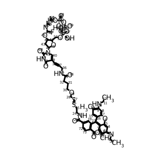 CC/N=c1/cc2oc3cc(NCC)c(C)cc3c(-c3cc(C(=O)NCCSSCOCCCC(=O)NCC#Cc4cn([C@H]5CC(OC(F)N=[N+]=[N-])C(COP(=O)(O)OP(=O)(O)OP(=O)(O)O)O5)c(=O)[nH]c4=O)ccc3C(=O)O)c-2cc1C